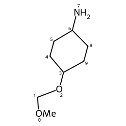 COCOC1CCC(N)CC1